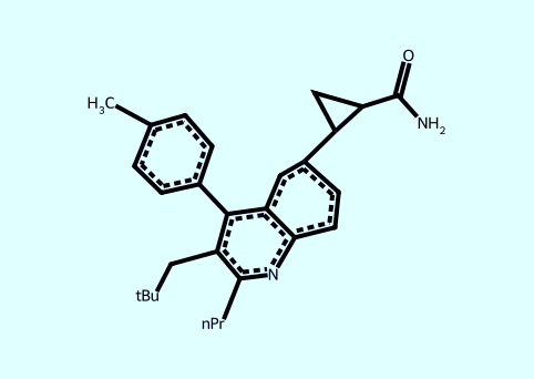 CCCc1nc2ccc(C3CC3C(N)=O)cc2c(-c2ccc(C)cc2)c1CC(C)(C)C